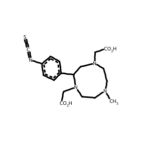 CN1CCN(CC(=O)O)CC(c2ccc(N=C=S)cc2)N(CC(=O)O)CC1